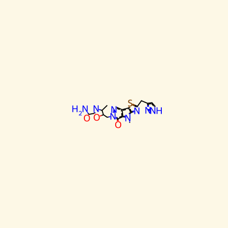 CC1N=C(C(N)=O)OC1Cn1ncc2c3sc(Cc4cc[nH]n4)nc3n(C)c2c1=O